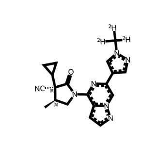 [2H]C([2H])([2H])n1cc(-c2cn3nccc3c(N3C[C@@H](C)[C@@](C#N)(C4CC4)C3=O)n2)cn1